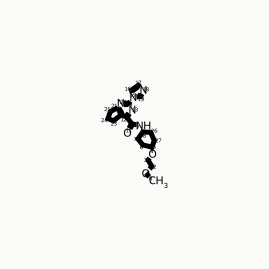 COCCO[C@H]1CC[C@H](NC(=O)c2nc(-n3ccnc3)nc3c2CCC3)CC1